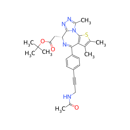 CC(=O)NCC#Cc1ccc(C2=N[C@H](CC(=O)OC(C)(C)C)c3nnc(C)n3-c3sc(C)c(C)c32)cc1